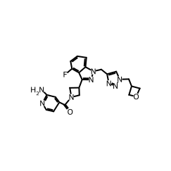 Nc1cc(C(=O)N2CC(c3nn(Cc4cn(CC5COC5)nn4)c4cccc(F)c34)C2)ccn1